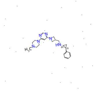 CN1CCN(c2cc(N3CC(CN[C@@H]4C[C@H]4c4ccccc4)C3)ncn2)CC1